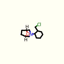 ClCC1CCCCC1N1C[C@H]2CC[C@H](C1)O2